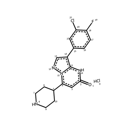 Cl.O=c1cc(C2CCNCC2)n2ncc(-c3ccc(F)c(Cl)c3)c2[nH]1